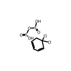 ClC1(Cl)C=CC=CC1.O=S(O)OS(=O)O